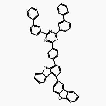 c1ccc(-c2cccc(-c3nc(-c4ccc(-c5ccc(-c6ccc7oc8ccccc8c7c6)c6c5oc5ccccc56)cc4)nc(-c4cccc(-c5ccccc5)c4)n3)c2)cc1